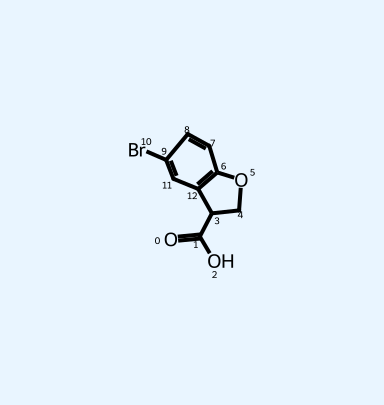 O=C(O)C1COc2ccc(Br)cc21